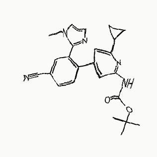 Cn1ccnc1-c1cc(C#N)ccc1-c1cc(NC(=O)OC(C)(C)C)nc(C2CC2)c1